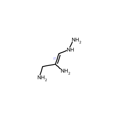 NC/C(N)=C/NN